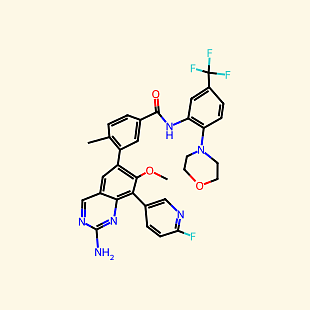 COc1c(-c2cc(C(=O)Nc3cc(C(F)(F)F)ccc3N3CCOCC3)ccc2C)cc2cnc(N)nc2c1-c1ccc(F)nc1